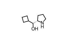 OC(C1CCC1)[C@@H]1CCCN1